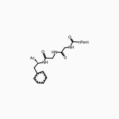 CCCCCC(=O)NCC(=O)NCC(=O)N[C@@H](Cc1ccccc1)C(C)=O